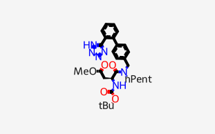 CCCCCN(Cc1ccc(-c2ccccc2-c2nnn[nH]2)cc1)C(=O)[C@H](CC(=O)OC)NC(=O)OC(C)(C)C